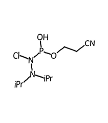 CC(C)N(C(C)C)N(Cl)P(O)OCCC#N